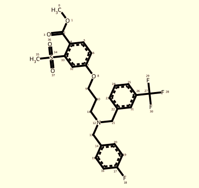 COC(=O)c1ccc(OCCCN(Cc2ccc(F)cc2)Cc2cccc(C(F)(F)F)c2)cc1S(C)(=O)=O